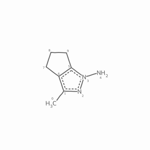 Cc1nn(N)c2c1CCC2